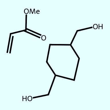 C=CC(=O)OC.OCC1CCC(CO)CC1